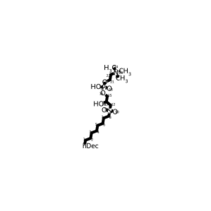 CCCCCCCCCCCCCCCCCCS(=O)(=O)CC(O)COP(=O)(O)OCC[N+](C)(C)C